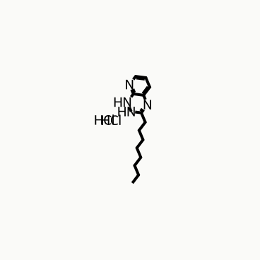 CCCCCCCCC1=Nc2cccnc2NN1.Cl.Cl